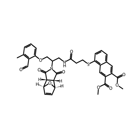 COC(=O)c1cc2cccc(SCCC(=O)NCC(COc3cccc(C)c3C=O)N3C(=O)[C@@H]4[C@H](C3=O)[C@H]3C=C[C@@H]4O3)c2cc1C(=O)OC